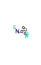 CC1CCc2ccccc2C(c2ccc(CC3CN(CCCF)C3)cc2)=C1c1cccc(C(F)(F)F)c1